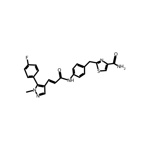 Cn1ncc(C=CC(=O)Nc2ccc(Cc3nc(C(N)=O)cs3)cc2)c1-c1ccc(F)cc1